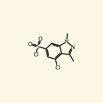 Cc1nn(C)c2cc(S(=O)(=O)Cl)cc(Cl)c12